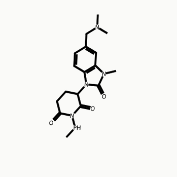 CPN1C(=O)CCC(n2c(=O)n(C)c3cc(CN(C)C)ccc32)C1=O